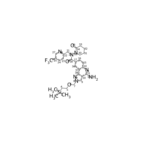 C[Si](C)(C)CCOCn1cc2c(N)nc3ccc(C(=O)N(Cc4ccc(C(F)(F)F)cn4)N4CCCCC4=O)cc3c2n1